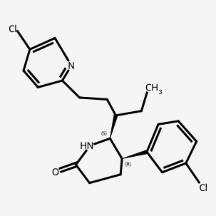 CCC(CCc1ccc(Cl)cn1)[C@@H]1NC(=O)CC[C@@H]1c1cccc(Cl)c1